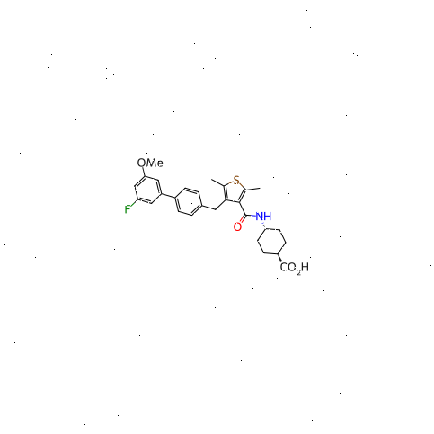 COc1cc(F)cc(-c2ccc(Cc3c(C)sc(C)c3C(=O)N[C@H]3CC[C@H](C(=O)O)CC3)cc2)c1